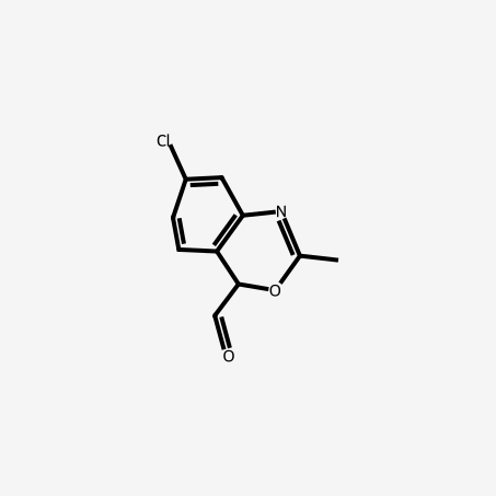 CC1=Nc2cc(Cl)ccc2C(C=O)O1